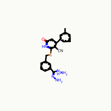 Cc1cccc(-c2cc(=O)[nH]c(SCc3cccc(/C(=N/N)NN)c3)c2C#N)c1